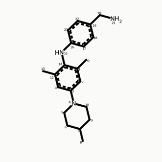 Cc1cc(N2CCC(C)CC2)cc(C)c1Nc1ccc(CN)cc1